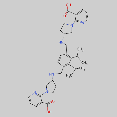 CC(C)c1c(CN[C@@H]2CCN(c3ncccc3C(=O)O)C2)ccc(CN[C@@H]2CCN(c3ncccc3C(=O)O)C2)c1C(C)C